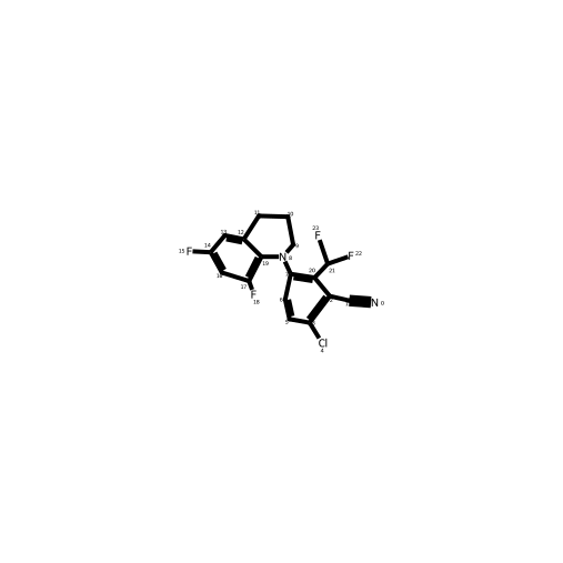 N#Cc1c(Cl)ccc(N2CCCc3cc(F)cc(F)c32)c1C(F)F